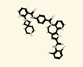 O=C(Nc1c(F)cccc1F)c1cc2c(s1)-c1ncccc1N(C(=O)c1ccc(NC(=O)c3cccnc3N3CC4(CCOCC4)C3)cc1)CC2